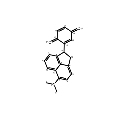 CN(C)c1ccc2c3c(cccc13)C(C1=CC(=O)C=CC1=O)C2